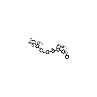 Cc1cc(N2CCC(CN3CCN(c4ccc(-c5nc(-c6ccc(Oc7ccccc7)cc6)c6c(N)nccn56)cn4)CC3)CC2)ccc1N1CCC(=O)NC1=O